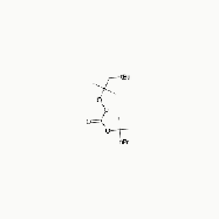 CCCC(C)(C)OC(=O)OOC(C)(C)CC(C)(C)C